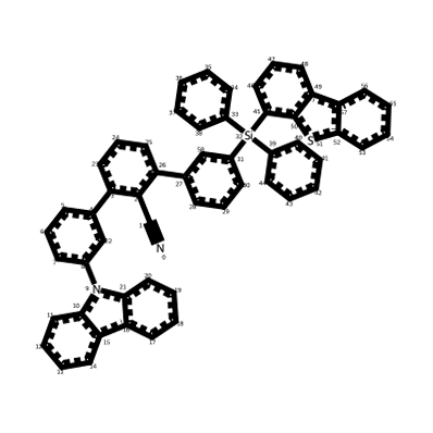 N#Cc1c(-c2cccc(-n3c4ccccc4c4ccccc43)c2)cccc1-c1cccc([Si](c2ccccc2)(c2ccccc2)c2cccc3c2sc2ccccc23)c1